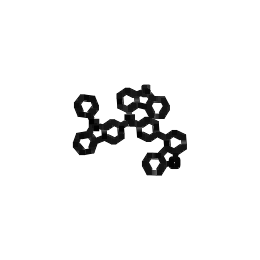 c1ccc(-n2c3ccccc3c3ccc(N(c4ccc(-c5cccc6oc7ccccc7c56)cc4)c4cccc5sc6ccccc6c45)cc32)cc1